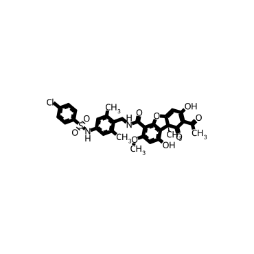 COc1cc(O)c2c(c1C(=O)NCc1c(C)cc(NS(=O)(=O)c3ccc(Cl)cc3)cc1C)OC1=CC(O)=C(C(C)=O)C(=O)[C@]12C